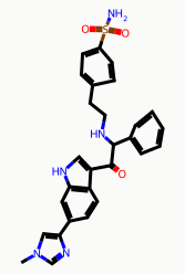 Cn1cnc(-c2ccc3c(C(=O)C(NCCc4ccc(S(N)(=O)=O)cc4)c4ccccc4)c[nH]c3c2)c1